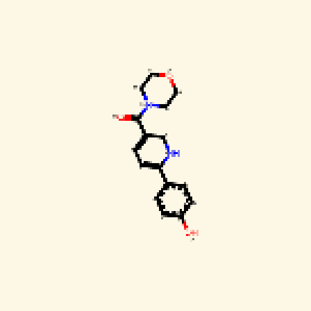 O=C(C1=CC=C(c2ccc(O)cc2)NC1)N1CCOCC1